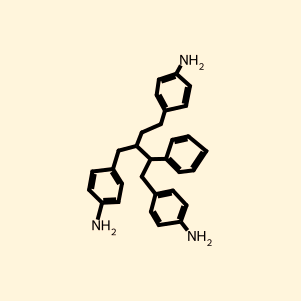 Nc1ccc(CCC(Cc2ccc(N)cc2)C(Cc2ccc(N)cc2)c2ccccc2)cc1